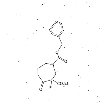 CCOC(=O)C1(F)CN(C(=O)OCc2ccccc2)CCCC1=O